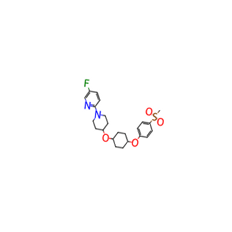 CS(=O)(=O)c1ccc(OC2CCC(OC3CCN(c4ccc(F)cn4)CC3)CC2)cc1